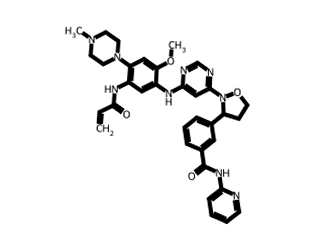 C=CC(=O)Nc1cc(Nc2cc(N3OCCC3c3cccc(C(=O)Nc4ccccn4)c3)ncn2)c(OC)cc1N1CCN(C)CC1